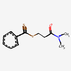 CN(C)C(=O)CCSC(=S)c1ccccc1